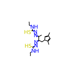 CCN/C(S)=N/N=C(C)/C(CC1C=C(C)C=C1C)=N/N=C(\S)NCC